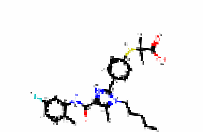 CCCCCn1c(-c2ccc(SC(C)(C)C(=O)O)cc2)nc(C(=O)Nc2cc(F)ccc2C)c1C